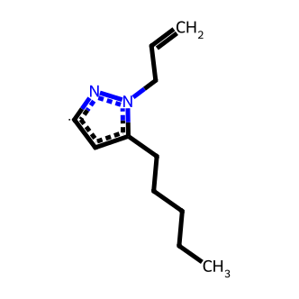 C=CCn1n[c]cc1CCCCC